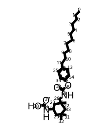 CCCCCCCCCCCCc1ccc(OC(=O)NCC2(C)CC(NC(=O)O)CC(C)(C)C2)cc1